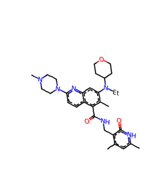 CCN(c1cc2nc(N3CCN(C)CC3)ccc2c(C(=O)NCc2c(C)cc(C)[nH]c2=O)c1C)C1CCOCC1